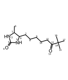 CC1NC(=O)NC1CCCCCC(=O)C(C)(C)C